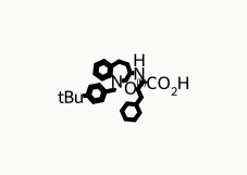 CC(C)(C)c1ccc(CN2C(=O)C(N[C@H](CCC3CCCCC3)C(=O)O)CCc3ccccc32)cc1